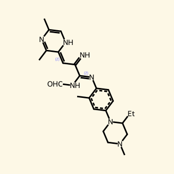 CCC1CN(C)CCN1c1ccc(/N=C(\NC=O)C(=N)/C=C2\NC=C(C)N=C2C)c(C)c1